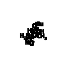 C[C@H]1CN(c2c(N)cnc3c2CCC3)C[C@@H](NC(=O)OC(C)(C)C)[C@@H]1O